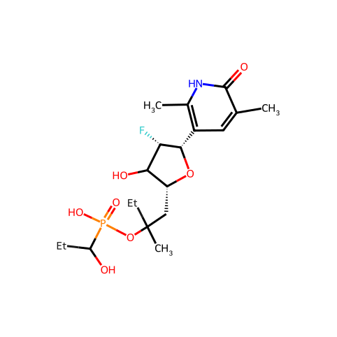 CCC(O)P(=O)(O)OC(C)(CC)C[C@H]1O[C@@H](c2cc(C)c(=O)[nH]c2C)[C@@H](F)C1O